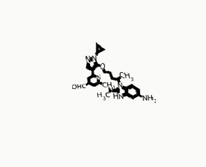 C/N=c1\[nH]c2cc(N)ccc2n1C(C)CCCOc1c(-c2cc(C=O)cc(C)n2)cnn1C1CC1